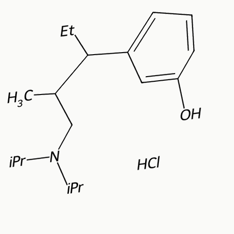 CCC(c1cccc(O)c1)C(C)CN(C(C)C)C(C)C.Cl